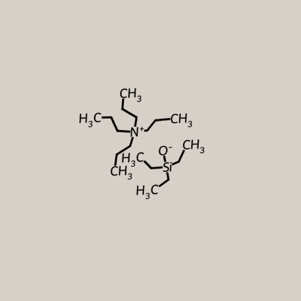 CCC[N+](CCC)(CCC)CCC.CC[Si]([O-])(CC)CC